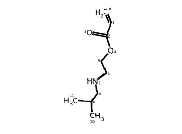 C=CC(=O)OCCNCC(C)C